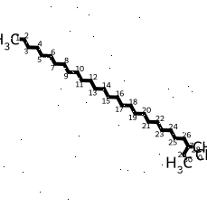 C.CCCCCCCCCCCCCCCCCCCCCCCCCCC(C)CC